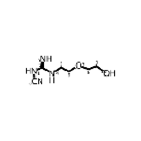 N#CNC(=N)NCCOCCO